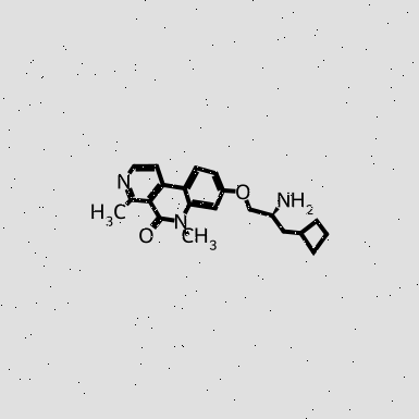 Cc1nccc2c1c(=O)n(C)c1cc(OC[C@@H](N)CC3CCC3)ccc21